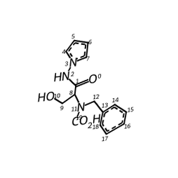 O=C(Nn1cccc1)C(CO)N(Cc1ccccc1)C(=O)O